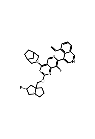 C=Cc1cccc2cncc(-c3ncc4c(N5CC6CCC(C6)C5)nc(OCC56CCCN5C[C@H](F)C6)nc4c3F)c12